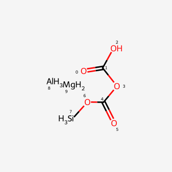 O=C(O)OC(=O)O[SiH3].[AlH3].[MgH2]